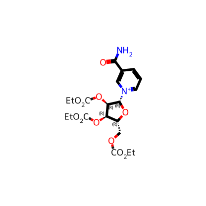 CCOC(=O)OC[C@H]1O[C@@H]([n+]2cccc(C(N)=O)c2)[C@H](OC(=O)OCC)[C@@H]1OC(=O)OCC